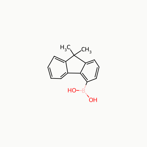 CC1(C)c2ccccc2-c2c(B(O)O)cccc21